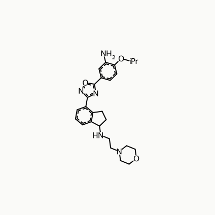 CC(C)Oc1ccc(-c2nc(-c3cccc4c3CCC4NCCN3CCOCC3)no2)cc1N